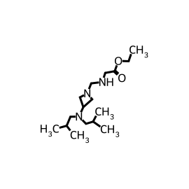 CCOC(=O)CNCN1CC(N(CC(C)C)CC(C)C)C1